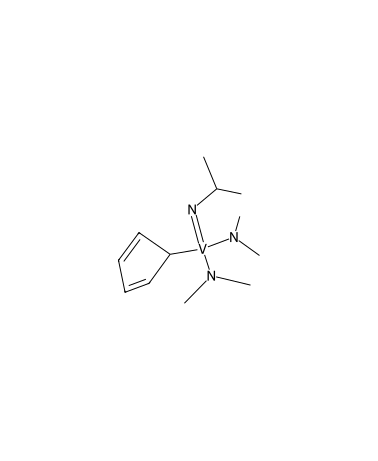 CC(C)[N]=[V]([CH]1C=CC=C1)([N](C)C)[N](C)C